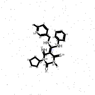 Cc1ccc(CN/C(Nc2ccccc2)=C2\C(=N)N(C3CCCC3)C(=O)N(C)C2=S)cn1